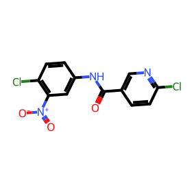 O=C(Nc1ccc(Cl)c([N+](=O)[O-])c1)c1ccc(Cl)nc1